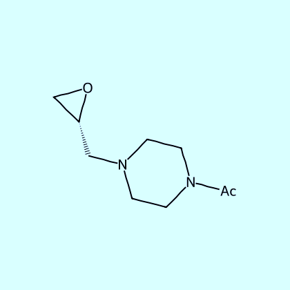 CC(=O)N1CCN(C[C@@H]2CO2)CC1